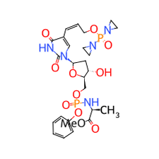 COC(=O)[C@H](C)NP(=O)(OC[C@H]1O[C@@H](n2cc(/C=C\COP(=O)(N3CC3)N3CC3)c(=O)[nH]c2=O)C[C@@H]1O)Oc1ccccc1